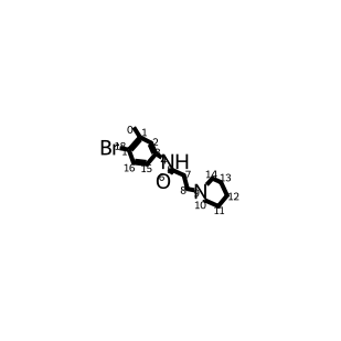 Cc1cc(NC(=O)CCN2CCCCC2)ccc1Br